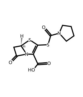 O=C(O)C1=C(SC(=O)N2CCCC2)S[C@@H]2CC(=O)N12